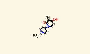 CCc1c(O)ccn(C2CCN(C(=O)O)CC2)c1=O